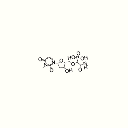 CNC(=O)C(OC[C@H]1O[C@@H](n2ccc(=O)n(C)c2=O)C[C@@H]1O)P(=O)(O)O